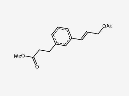 COC(=O)CCc1cccc(/C=C/COC(C)=O)c1